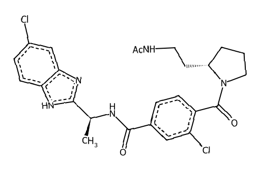 CC(=O)NCC[C@@H]1CCCN1C(=O)c1ccc(C(=O)N[C@@H](C)c2nc3cc(Cl)ccc3[nH]2)cc1Cl